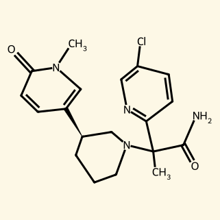 Cn1cc([C@@H]2CCCN(C(C)(C(N)=O)c3ccc(Cl)cn3)C2)ccc1=O